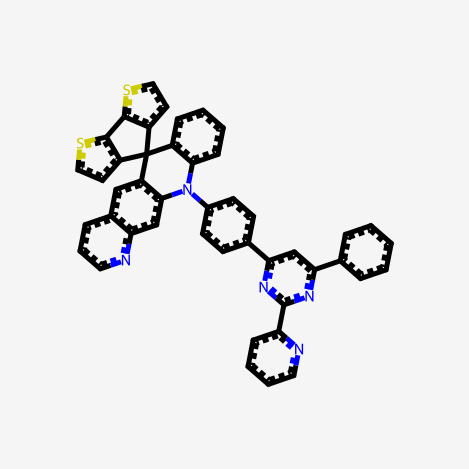 c1ccc(-c2cc(-c3ccc(N4c5ccccc5C5(c6cc7cccnc7cc64)c4ccsc4-c4sccc45)cc3)nc(-c3ccccn3)n2)cc1